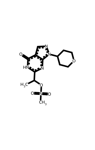 CC(OS(C)(=O)=O)c1nc2c(cnn2C2CCOCC2)c(=O)[nH]1